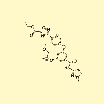 CCOC(=O)c1nc(-c2ccc(Oc3cc(O[C@@H](C)COC)cc(C(=O)Nc4ccn(C)n4)c3)cn2)no1